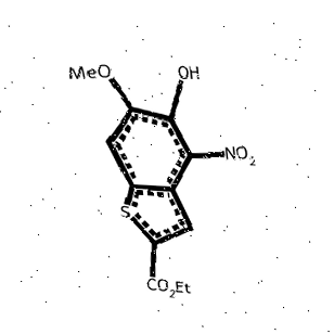 CCOC(=O)c1cc2c([N+](=O)[O-])c(O)c(OC)cc2s1